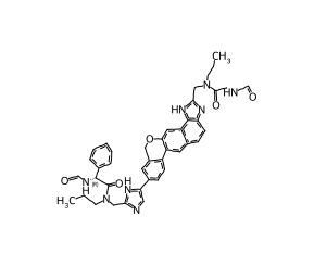 CCCN(Cc1nc2ccc3cc4c(cc3c2[nH]1)OCc1cc(-c2cnc(CN(CCC)C(=O)[C@H](NC=O)c3ccccc3)[nH]2)ccc1-4)C(=O)CNC=O